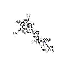 N=C(N)NCC/C=C(\NC(=O)[C@H](CCCCN)NC(=O)[C@H](CC(F)(F)F)NC(=O)[C@@H]1CCCN1C(=O)[C@@H](CCCN)NC(=O)CNC(=O)[C@H](CCCN)NC(=O)[C@H](NC(=O)[C@@H](N)CCCCN)[C@@H](O)CN)C(=O)O